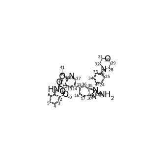 COc1ccccc1NS(=O)(=O)c1cc(-c2ccc3nc(N)n(-c4ccc(N5CCOCC5)cc4)c3c2)cnc1OC